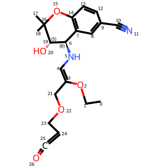 CCOC(=CN[C@@H]1c2cc(C#N)ccc2OC(C)(C)[C@H]1O)COCC=C=O